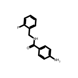 Nc1ccc(C(=O)NCc2ccccc2F)cc1